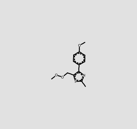 COOCc1sc(C)nc1-c1ccc(OC)cc1